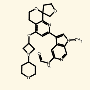 Cn1cc(-c2cc(OC3CN(C4CCOCC4)C3)c3c(n2)C2(CCOC2)OCC3)c2cc(NC=O)ncc21